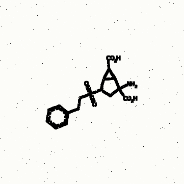 NC1(C(=O)O)CC(S(=O)(=O)CCc2ccccc2)C2C(C(=O)O)C21